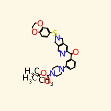 CC(C)(C)OC(=O)N1CCN(c2cccc(C(=O)c3cc4c(cn3)CN(Sc3ccc5c(c3)OCCO5)C4)c2)CC1